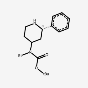 CCN(C(=O)OC(C)(C)C)C1CCN[C@H](c2ccccc2)C1